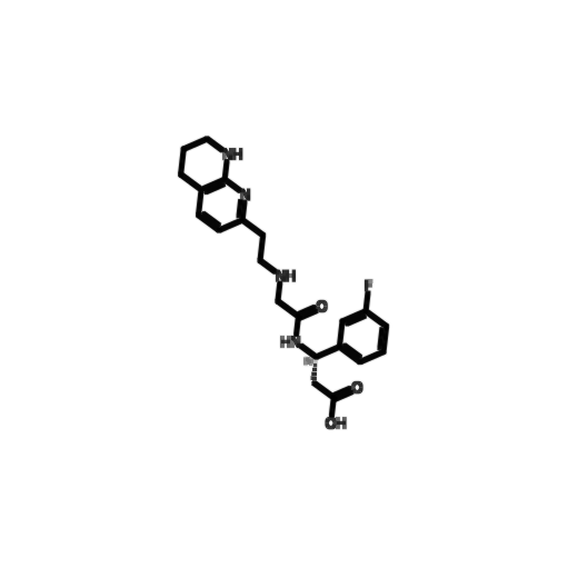 O=C(O)C[C@H](NC(=O)CNCCc1ccc2c(n1)NCCC2)c1cccc(F)c1